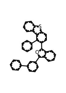 c1ccc(-c2cccc(-c3oc(-c4ccc5sc6ccccc6c5c4-c4ccccc4)c4ccccc34)c2)cc1